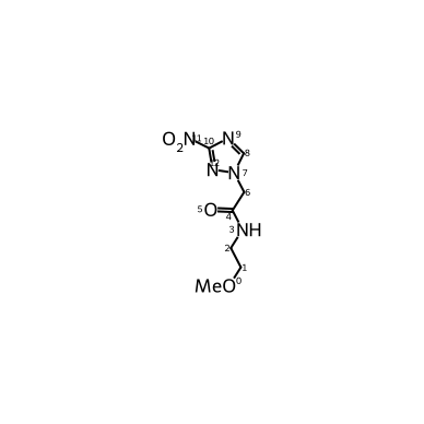 COCCNC(=O)Cn1cnc([N+](=O)[O-])n1